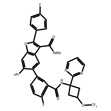 CCCc1cc2oc(-c3ccc(F)cc3)c(C(=O)NC)c2cc1-c1ccc(F)c(C(=O)NC2(c3ncccn3)CC(OC(F)(F)F)C2)c1